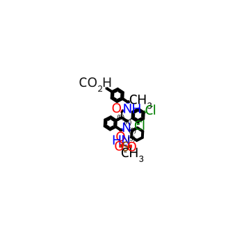 CC(NC(=O)[C@@H]1c2ccccc2C(=O)N([C@H]2CCCC[C@@H]2NS(C)(=O)=O)[C@H]1c1ccc(Cl)cc1Cl)c1ccc(CC(=O)O)cc1